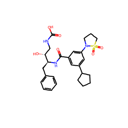 O=C(O)NC[C@@H](O)[C@H](Cc1ccccc1)NC(=O)c1cc(C2CCCC2)cc(N2CCCS2(=O)=O)c1